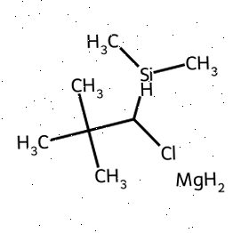 C[SiH](C)C(Cl)C(C)(C)C.[MgH2]